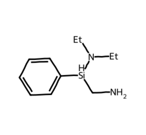 CCN(CC)[SiH](CN)c1ccccc1